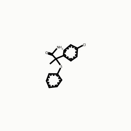 CC(Sc1cc[c]cc1)(C(N)=O)c1ccc(Cl)cc1